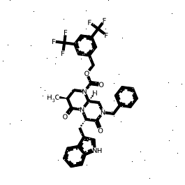 C[C@H]1CN(C(=O)OCc2cc(C(F)(F)F)cc(C(F)(F)F)c2)[C@H]2CN(Cc3ccccc3)C(=O)[C@H](Cc3c[nH]c4ccccc34)N2C1=O